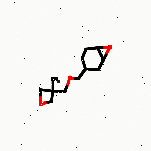 CC1(COCC2CCC3OC3C2)COC1